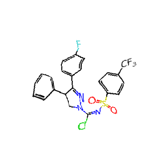 O=S(=O)(/N=C(/Cl)N1CC(c2ccccc2)C(c2ccc(F)cc2)=N1)c1ccc(C(F)(F)F)cc1